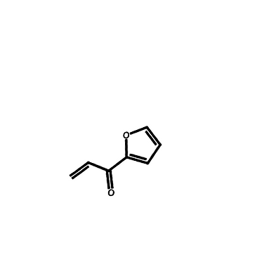 C=CC(=O)c1ccco1